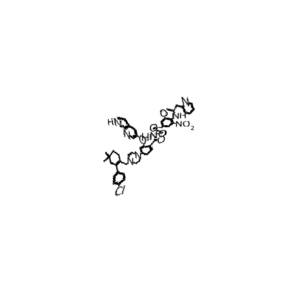 CC1(C)CCC(CN2CCN(c3ccc(C(=O)NS(=O)(=O)c4cc5c(c([N+](=O)[O-])c4)N[C@H](Cc4ccccn4)CO5)c(Oc4cnc5[nH]ccc5c4)c3)CC2)=C(c2ccc(Cl)cc2)C1